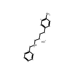 Cl.Nc1ccc(CCCCNCc2ccccc2)cc1